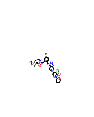 CC(C)(C)[S+]([O-])N=Cc1cc(F)ccc1Cn1nnc2c1CCN(c1cnn(C3CCCCO3)c(=O)c1Cl)C2